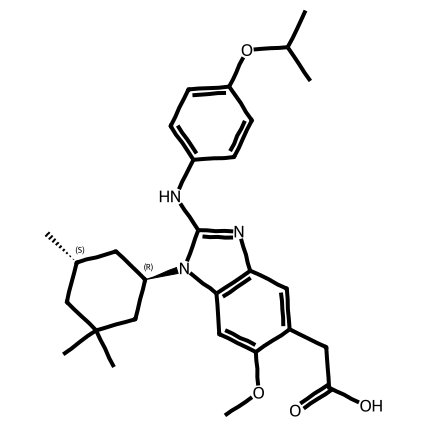 COc1cc2c(cc1CC(=O)O)nc(Nc1ccc(OC(C)C)cc1)n2[C@@H]1C[C@@H](C)CC(C)(C)C1